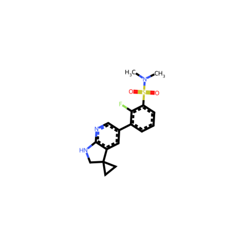 CN(C)S(=O)(=O)c1cccc(-c2cnc3c(c2)C2(CC2)CN3)c1F